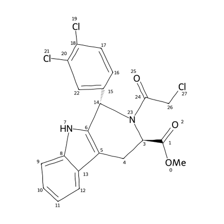 COC(=O)[C@H]1Cc2c([nH]c3ccccc23)[C@H](c2ccc(Cl)c(Cl)c2)N1C(=O)CCl